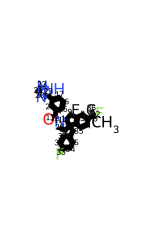 CC(F)(c1ccc2c(c1)CC1N(C(=O)c3cccc(-c4ncn[nH]4)c3)CCC21Cc1ccc(F)cc1)C(F)(F)F